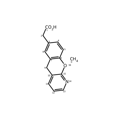 C.O=C(O)Cc1ccc2c(c1)Cc1cccnc1O2